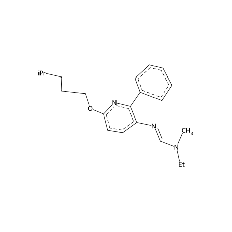 CCN(C)/C=N/c1ccc(OCCCC(C)C)nc1-c1ccccc1